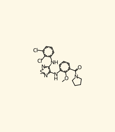 COc1c(Nc2nsnc2Nc2cccc(Cl)c2Cl)cccc1C(=O)N1CCCC1